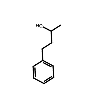 CC(O)[CH]Cc1ccccc1